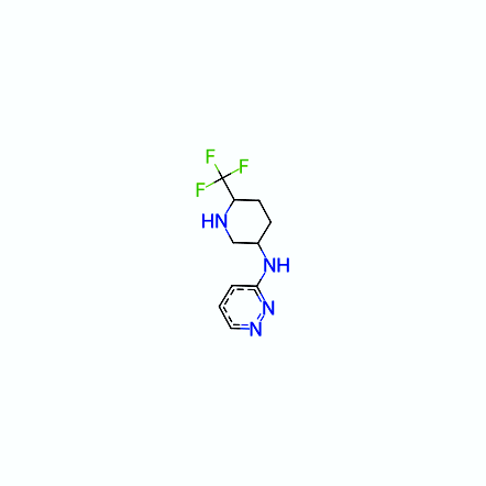 FC(F)(F)C1CCC(Nc2cccnn2)CN1